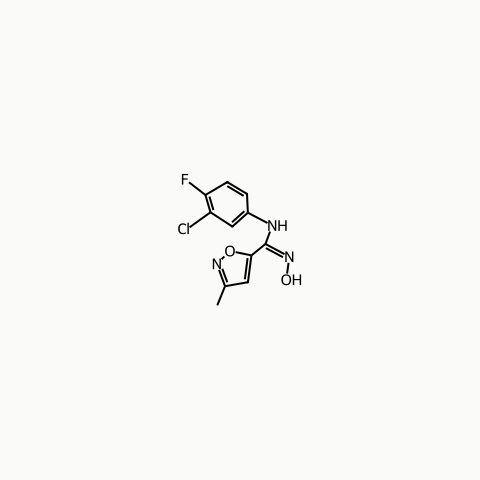 Cc1cc(/C(=N\O)Nc2ccc(F)c(Cl)c2)on1